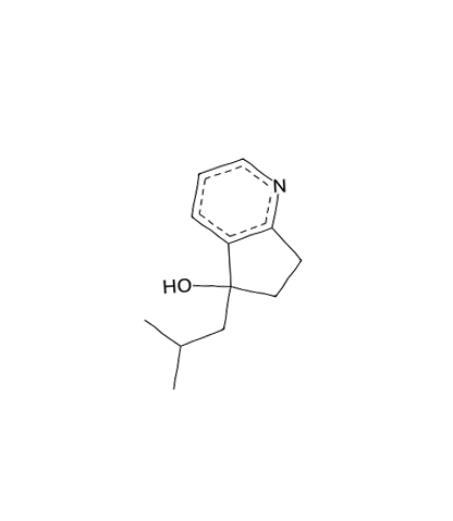 CC(C)CC1(O)CCc2ncccc21